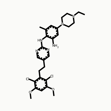 CCN1CCN(c2cc(C)c(Nc3ncc(CCc4c(Cl)c(OC)cc(OC)c4Cl)cn3)c(N)c2)CC1